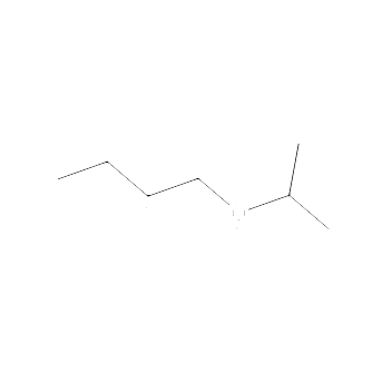 CCCCOC(C)C